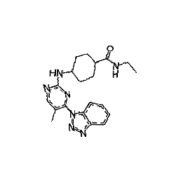 CCNC(=O)C1CCC(Nc2ncc(C)c(-n3nnc4ccccc43)n2)CC1